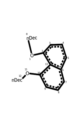 CCCCCCCCCCOc1cccc2cccc(OCCCCCCCCCC)c12